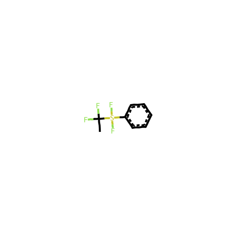 CC(F)(F)S(F)(F)c1ccccc1